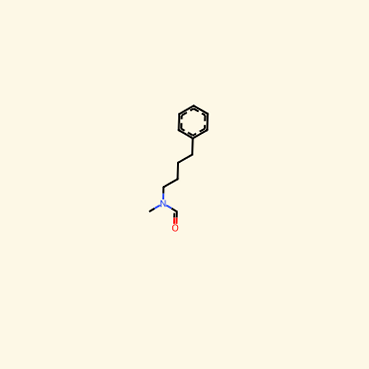 CN(C=O)CCCCc1ccccc1